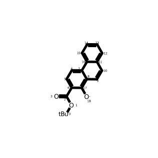 CC(C)(C)OC(=O)c1ccc2c(ccc3ccccc32)c1[O]